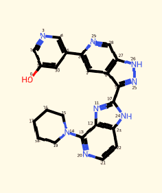 Oc1cncc(-c2cc3c(-c4nc5c(N6CCCCC6)nccc5[nH]4)n[nH]c3cn2)c1